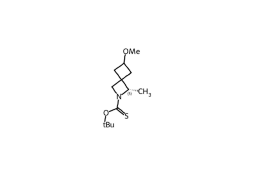 COC1CC2(C1)CN(C(=S)OC(C)(C)C)[C@H]2C